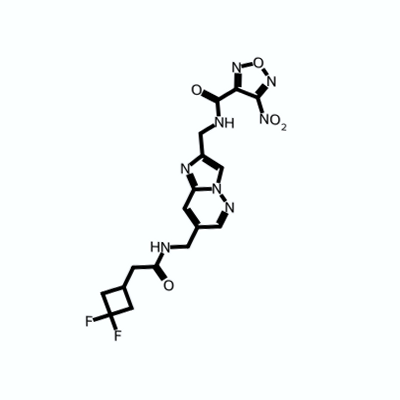 O=C(CC1CC(F)(F)C1)NCc1cnn2cc(CNC(=O)c3nonc3[N+](=O)[O-])nc2c1